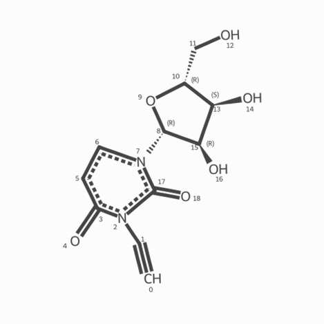 C#Cn1c(=O)ccn([C@@H]2O[C@H](CO)[C@@H](O)[C@H]2O)c1=O